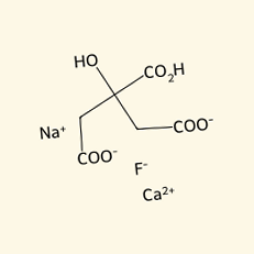 O=C([O-])CC(O)(CC(=O)[O-])C(=O)O.[Ca+2].[F-].[Na+]